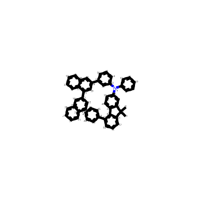 CC1(C)c2cc(N(c3ccccc3)c3cccc(-c4cc(-c5ccc6ccccc6c5)c5ccccc5c4)c3)ccc2-c2c(-c3ccccc3)cccc21